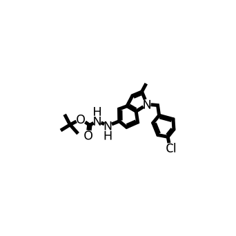 Cc1cc2cc(NNC(=O)OC(C)(C)C)ccc2n1Cc1ccc(Cl)cc1